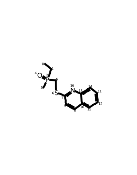 CCP(C)(=O)CSc1ccc2ccccc2n1